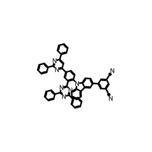 N#Cc1cc(C#N)cc(-c2ccc3c(c2)c2ccccc2n3-c2ccc(-c3cc(-c4ccccc4)nc(-c4ccccc4)n3)cc2-c2nc(-c3ccccc3)nc(-c3ccccc3)n2)c1